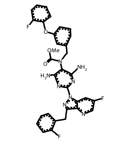 COC(=O)N(Cc1cccc(Oc2ccccc2F)c1)c1c(N)nc(-n2nc(Cc3ccccc3F)c3ncc(F)cc32)nc1N